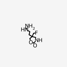 NNCCC1(CF)CNC(=O)OC1